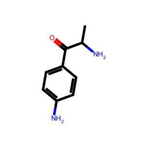 CC(N)C(=O)c1ccc(N)cc1